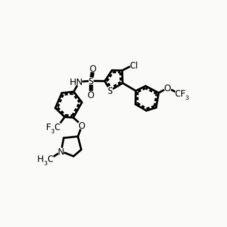 CN1CCC(Oc2cc(NS(=O)(=O)c3cc(Cl)c(-c4cccc(OC(F)(F)F)c4)s3)ccc2C(F)(F)F)C1